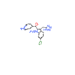 O=C(c1ccncc1)c1[nH]c2cc(Cl)ccc2c1Cc1nnn[nH]1